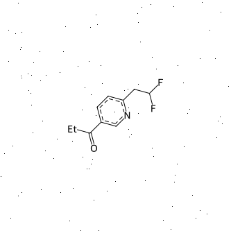 CCC(=O)c1ccc(CC(F)F)nc1